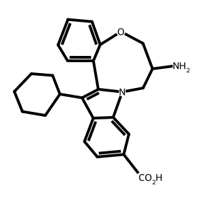 NC1COc2ccccc2-c2c(C3CCCCC3)c3ccc(C(=O)O)cc3n2C1